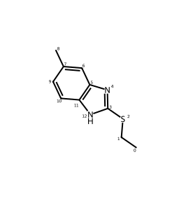 CCSc1nc2cc(C)ccc2[nH]1